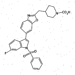 O=C(O)N1CCC(Cc2nc3ccc(-c4cn(S(=O)(=O)c5ccccc5)c5cc(F)ccc45)cc3o2)CC1